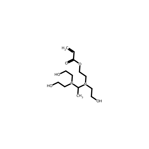 C=CC(=O)OCCN(CCO)C(C)N(CCO)CCO